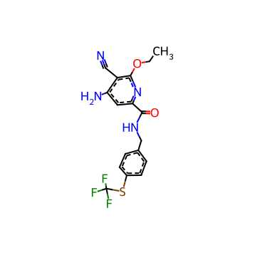 CCOc1nc(C(=O)NCc2ccc(SC(F)(F)F)cc2)cc(N)c1C#N